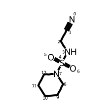 N#CCNS(=O)(=O)N1CCCCC1